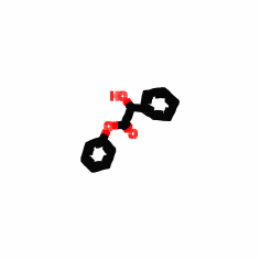 O=C(Oc1ccccc1)C(O)c1ccccc1